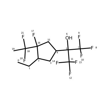 CCC1CC(C(O)(C(F)(F)F)C(F)(F)F)CC1(F)C(C)(F)F